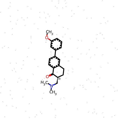 COc1cccc(-c2ccc3c(c2)CC[C@@H](CN(C)C)C3=O)c1